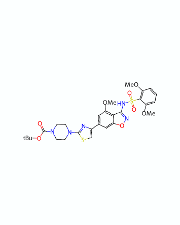 COc1cccc(OC)c1S(=O)(=O)Nc1noc2cc(-c3csc(N4CCN(C(=O)OC(C)(C)C)CC4)n3)cc(OC)c12